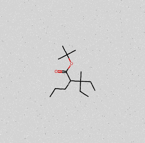 CCCC(C(=O)OC(C)(C)C)C(C)(CC)CC